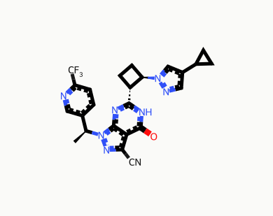 C[C@@H](c1ccc(C(F)(F)F)nc1)n1nc(C#N)c2c(=O)[nH]c([C@@H]3CC[C@H]3n3cc(C4CC4)cn3)nc21